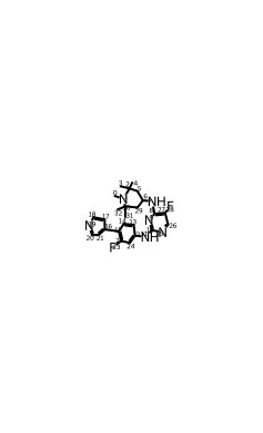 CN1C(C)(C)CC(Nc2nc(Nc3ccc(-c4ccncc4)c(F)c3)ncc2F)CC1(C)C